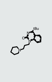 CC(C)(C)c1nc(=O)n(CCCN2CCCCC2)c2ccccc12